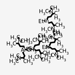 CC(C[CH2][Al]([CH3])[CH2]CC(C)N(C)C)N(C)C.C[CH2][Al]([CH2]CC(C)N(C)C)[CH2]CC(C)N(C)C.C[CH2][Ga]([CH2]CC(C)N(C)C)[CH2]CC(C)N(C)C.C[CH2][In]([CH2]CC(C)N(C)C)[CH2]CC(C)N(C)C